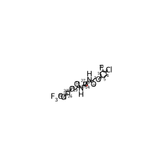 O=C(COc1ccc(Cl)c(F)c1)NC12CC(NC(=O)COC3CC(OC(F)(F)F)C3)(C1)C2